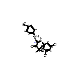 CC(C)(C)C(=O)/C(=N/Nc1ccc(Br)cc1)Nc1cc(Cl)cc(Cl)c1